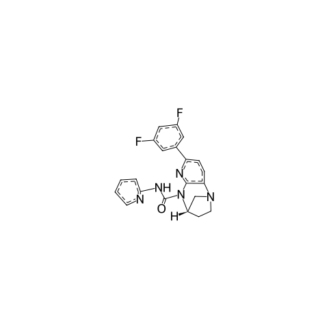 O=C(Nc1ccccn1)N1c2nc(-c3cc(F)cc(F)c3)ccc2N2CC[C@H]1C2